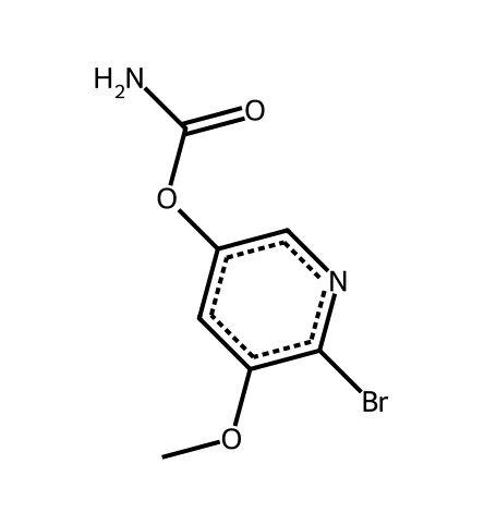 COc1cc(OC(N)=O)cnc1Br